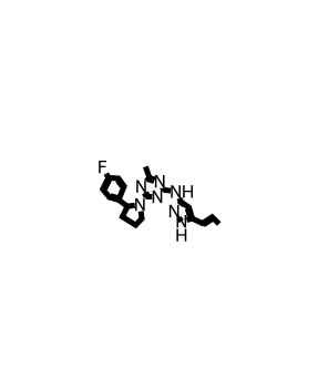 C/C=C/c1cc(Nc2nc(C)nc(N3CCCC3c3ccc(F)cc3)n2)n[nH]1